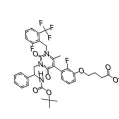 COC(=O)CCCOc1cccc(-c2c(C)n(Cc3c(F)cccc3C(F)(F)F)c(=O)n(CC(NC(=O)OC(C)(C)C)c3ccccc3)c2=O)c1F